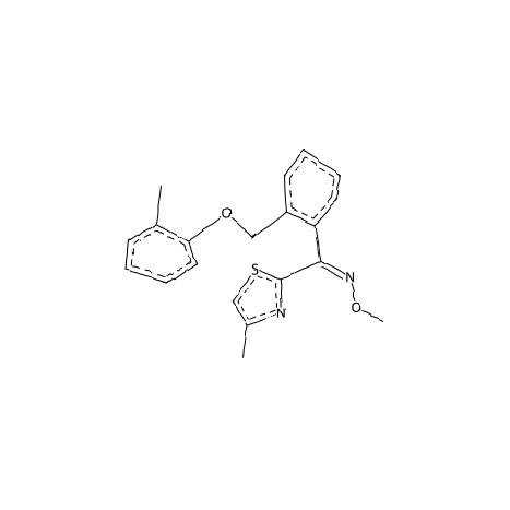 CON=C(c1nc(C)cs1)c1ccccc1COc1ccccc1C